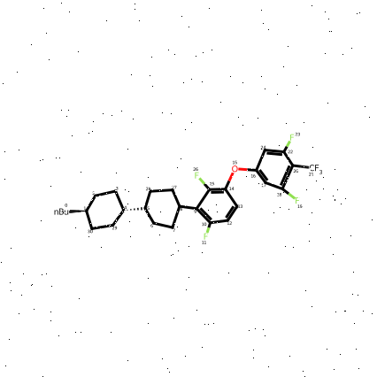 CCCC[C@H]1CC[C@H](C2CCC(c3c(F)c[c]c(Oc4cc(F)c(C(F)(F)F)c(F)c4)c3F)CC2)CC1